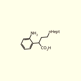 CCCCCCCCCC(C(=O)O)c1ccccc1N